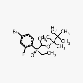 CCP(=O)(c1ccc(Br)cc1F)C(C)O[Si](C)(C)C(C)(C)C